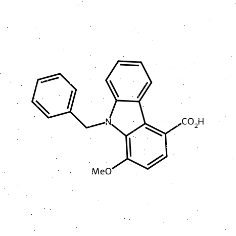 COc1ccc(C(=O)O)c2c3ccccc3n(Cc3ccccc3)c12